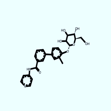 Cc1cc(-c2cccc(C(=O)Nc3ccncc3)c2)ccc1O[C@H]1O[C@H](CO)[C@@H](O)C(O)C1O